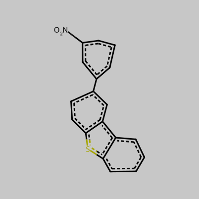 O=[N+]([O-])c1cccc(-c2ccc3sc4ccccc4c3c2)c1